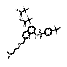 CN(C)CCCNCc1ccc2cccc(NS(=O)(=O)c3ccc(C(F)(F)F)cc3)c2n1.O=C(O)C(F)(F)F.O=C(O)C(F)(F)F